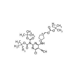 C#Cc1c(Cl)nc(N(C(=O)OC(C)(C)C)C(=O)OC(C)(C)C)nc1N[C@H]1CC[C@@H](COC(=O)OC(C)(C)C)C1